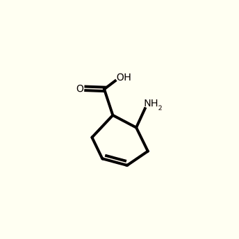 NC1CC=CCC1C(=O)O